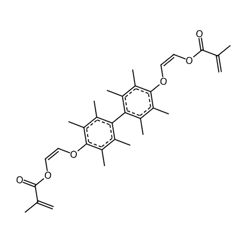 C=C(C)C(=O)O/C=C\Oc1c(C)c(C)c(-c2c(C)c(C)c(O/C=C\OC(=O)C(=C)C)c(C)c2C)c(C)c1C